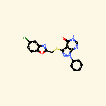 O=c1[nH]cnc2c1c(SCc1nc3cc(Cl)ccc3o1)nn2-c1ccccc1